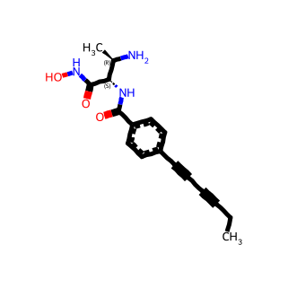 CCC#CC#Cc1ccc(C(=O)N[C@H](C(=O)NO)[C@@H](C)N)cc1